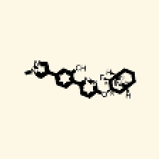 Cn1cc(-c2ccc(-c3ccc(O[C@@H]4C[C@H]5CCC[C@H](N5)[C@@H]4F)nn3)c(O)c2)cn1